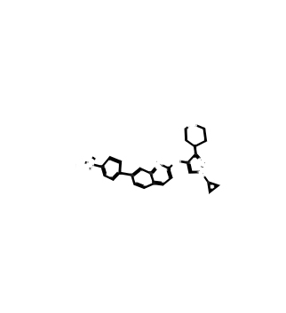 CS(=O)(=O)c1ccc(-c2ccc3ccc(Oc4cn(C5CC5)nc4C4CCOCC4)nc3c2)cc1